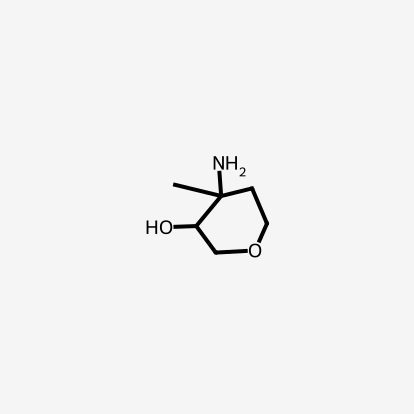 CC1(N)CCOCC1O